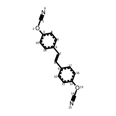 N#COc1ccc(C=Cc2ccc(OC#N)cc2)cc1